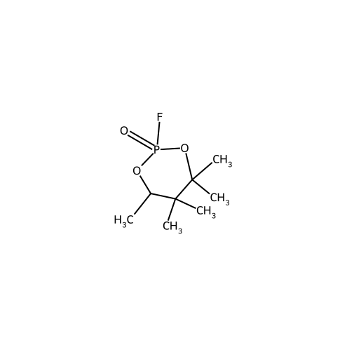 CC1OP(=O)(F)OC(C)(C)C1(C)C